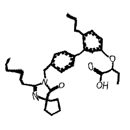 CCCCC1=NC2(CCCC2)C(=O)N1Cc1ccc(-c2cc(OC(CC)C(=O)O)ccc2CCC)cc1